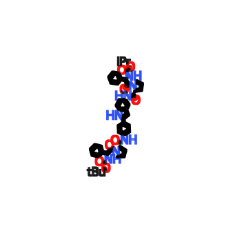 CC(C)OC(=O)N[C@@H](C(=O)N1CCC[C@H]1C(=O)Nc1ccc2[nH]c(-c3ccc(NC(=O)[C@@H]4CCCN4C(=O)[C@H](NC(=O)OC(C)(C)C)c4ccccc4)cc3)cc2c1)c1ccccc1